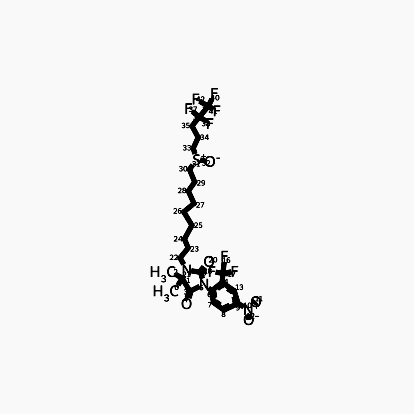 CC1(C)C(=O)N(c2ccc([N+](=O)[O-])cc2C(F)(F)F)C(=O)N1CCCCCCCCC[S+]([O-])CCCC(F)(F)C(F)(F)F